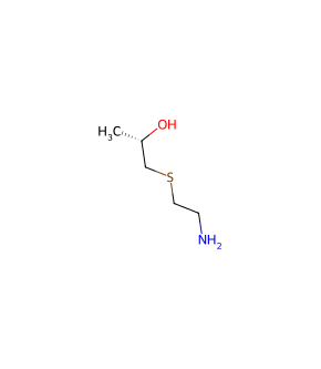 C[C@H](O)CSCCN